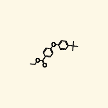 CCOC(=O)c1ccc(Oc2ccc(C(C)(C)C)cc2)cc1